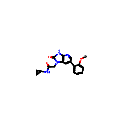 CCOc1ccccc1-c1cnc2[nH]c(=O)n(CC(=O)NC3CC3)c2c1